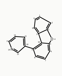 [c]1ccc2oc3cccc(-c4cccnc4)c3c2c1